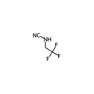 N#CNCC(F)(F)F